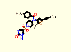 CC1CCC(C(=O)N(c2cc(C#CC(C)(C)C)sc2C(=O)O)C2CCN(S(=O)(=O)c3cnc(=O)[nH]c3)CC2)CC1